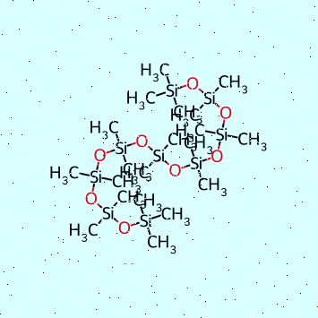 C[Si](C)(C)O[Si](C)(C)O[Si](C)(C)O[Si](C)(C)O[Si](C)(C)O[Si](C)(C)O[Si](C)(C)O[Si](C)(C)O[Si](C)(C)C